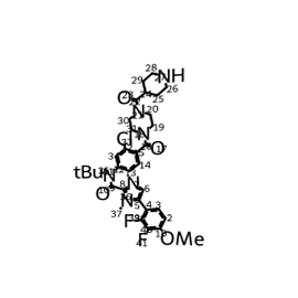 COc1ccc(-c2cnc(C(=O)N(c3ccc(C(=O)N4CCN(C(=O)C5CCNCC5)CC4)c(Cl)c3)C(C)(C)C)n2C)c(F)c1F